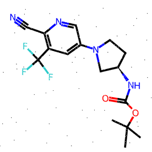 CC(C)(C)OC(=O)N[C@@H]1CCN(c2cnc(C#N)c(C(F)(F)F)c2)C1